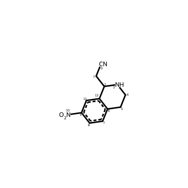 N#CCC1NCCc2ccc([N+](=O)[O-])cc21